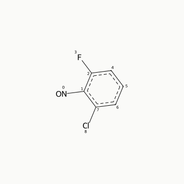 O=Nc1c(F)cccc1Cl